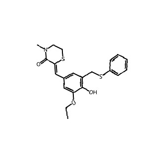 CCOc1cc(C=C2SCCN(C)C2=O)cc(CSc2ccccc2)c1O